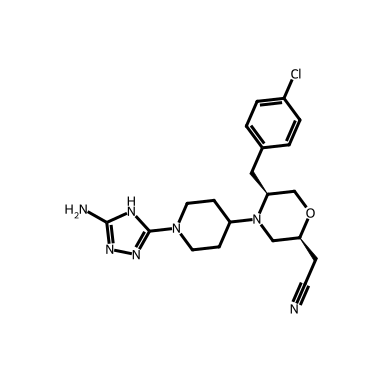 N#CC[C@H]1CN(C2CCN(c3nnc(N)[nH]3)CC2)[C@@H](Cc2ccc(Cl)cc2)CO1